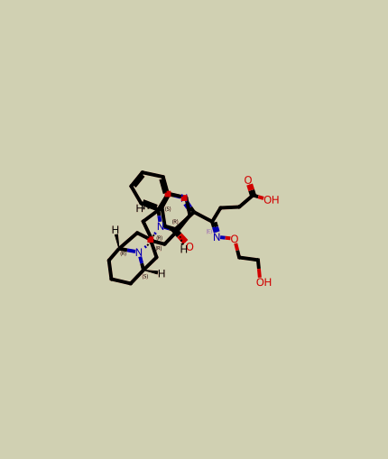 O=C(O)CC/C(=N\OCCO)c1nc2ccccc2n([C@H]2C[C@H]3CCC[C@@H](C2)N3[C@H]2C[C@@H]3CCC[C@@H](C3)C2)c1=O